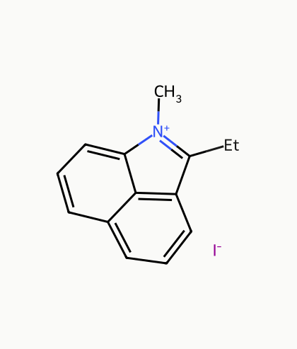 CCC1=[N+](C)c2cccc3cccc1c23.[I-]